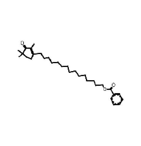 CC1=C(CCCCCCCCCCCCCCCOC(=O)c2ccccc2)CCC(C)(C)C1=O